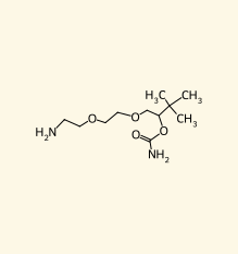 CC(C)(C)C(COCCOCCN)OC(N)=O